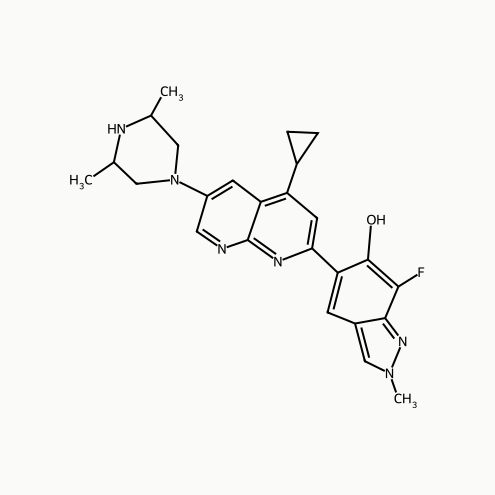 CC1CN(c2cnc3nc(-c4cc5cn(C)nc5c(F)c4O)cc(C4CC4)c3c2)CC(C)N1